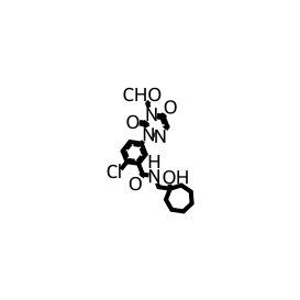 O=CCn1c(=O)cnn(-c2ccc(Cl)c(C(=O)NCC3(O)CCCCCC3)c2)c1=O